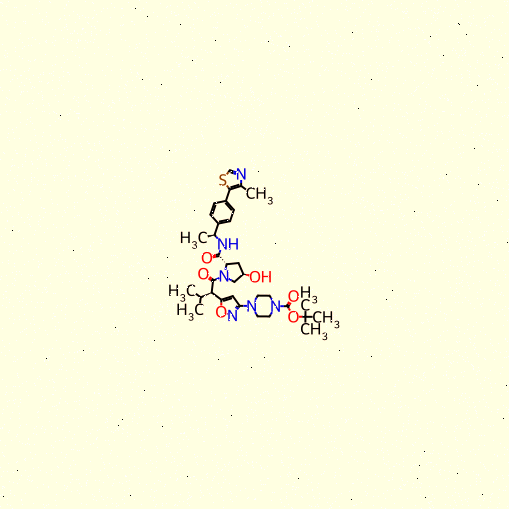 Cc1ncsc1-c1ccc([C@H](C)NC(=O)[C@@H]2C[C@@H](O)CN2C(=O)[C@@H](c2cc(N3CCN(C(=O)OC(C)(C)C)CC3)no2)C(C)C)cc1